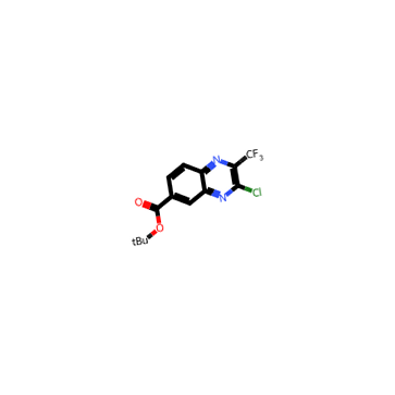 CC(C)(C)OC(=O)c1ccc2nc(C(F)(F)F)c(Cl)nc2c1